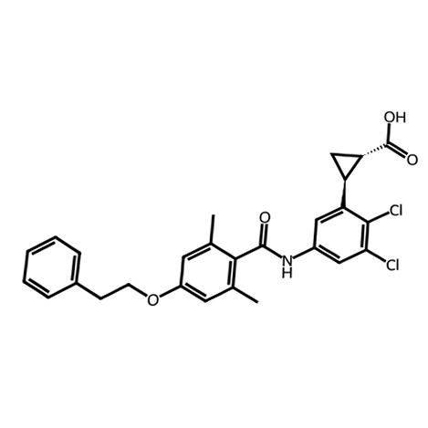 Cc1cc(OCCc2ccccc2)cc(C)c1C(=O)Nc1cc(Cl)c(Cl)c([C@H]2C[C@@H]2C(=O)O)c1